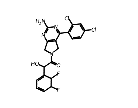 Nc1nc2c(c(-c3ccc(Cl)cc3Cl)n1)CN(C(=O)C(O)C1=CC=CC(F)C1F)C2